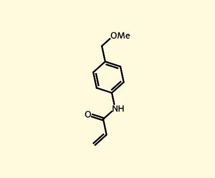 C=CC(=O)Nc1ccc(COC)cc1